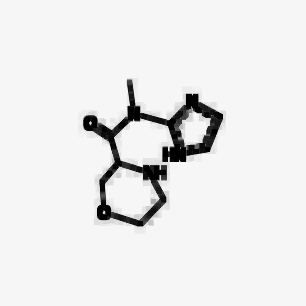 CN(C(=O)C1COCCN1)c1ncc[nH]1